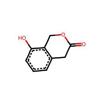 O=C1Cc2cccc(O)c2CO1